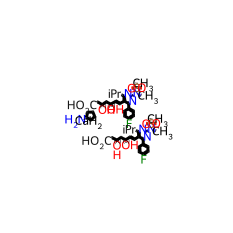 CC(C)c1nc(N(C)S(C)(=O)=O)nc(-c2ccc(F)cc2)c1C=C[C@@H](O)C[C@@H](O)CC(=O)O.CC(C)c1nc(N(C)S(C)(=O)=O)nc(-c2ccc(F)cc2)c1C=C[C@@H](O)C[C@@H](O)CC(=O)O.NC1CCCC1.[CaH2]